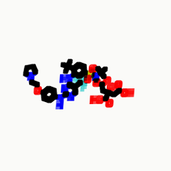 CC(C)(C)c1ccc(S(=O)(=O)N(OC(=O)CC(O)(CC(=O)O)C(=O)O)C(C)(C)C)cc1Nc1nc(Nc2ccc(OCCN3CCCC3)cc2)ncc1C(F)(F)F